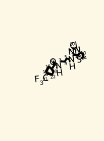 O=C(NCCCNc1nc(Cl)nc2ccsc12)c1ccc(C(F)(F)F)cc1